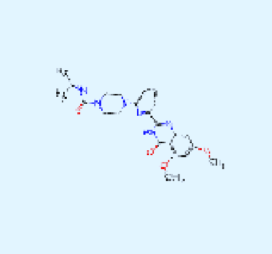 COc1cc(OC)c2c(=O)[nH]c(-c3cccc(N4CCN(C(=O)NC(C)C)CC4)n3)nc2c1